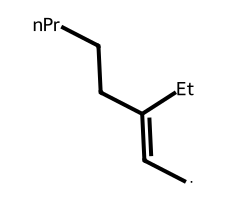 [CH2]/C=C(\CC)CCCCC